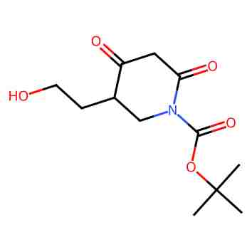 CC(C)(C)OC(=O)N1CC(CCO)C(=O)CC1=O